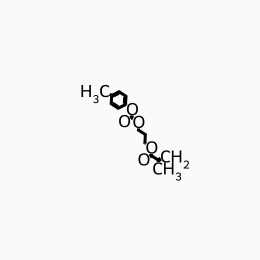 C=C(C)C(=O)OCCCOC(=O)Oc1ccc(C)cc1